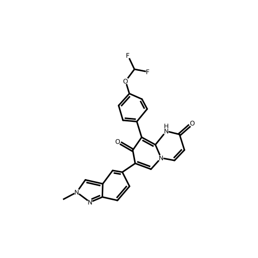 Cn1cc2cc(-c3cn4ccc(=O)[nH]c4c(-c4ccc(OC(F)F)cc4)c3=O)ccc2n1